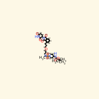 CN(CCCOCCCc1cccc2c1C(=O)N([C@@H]1CCC(=O)NC1=O)C2=O)S(=O)(=O)N1CCC(NC(=O)OC(C)(C)C)CC1